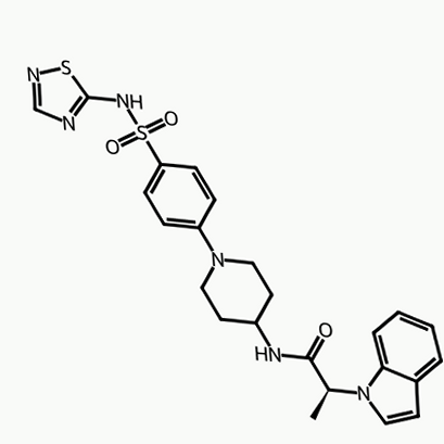 C[C@@H](C(=O)NC1CCN(c2ccc(S(=O)(=O)Nc3ncns3)cc2)CC1)n1ccc2ccccc21